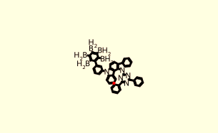 Bc1c(B)c(B)c(-c2cccc(-n3c4ccccc4c4c3ccc3c5ccccc5n(-c5nc(-c6ccccc6)nc(-c6ccccc6)n5)c34)c2)c(B)c1B